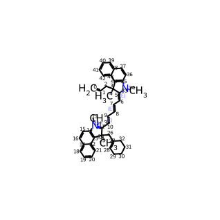 C=CCC1(C)\C(=C/C=C/C=C/C2=[N+](C)c3ccc4ccccc4c3C2(C)CC2=CCCCC2)N(C)c2ccc3ccccc3c21